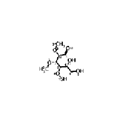 CO[C@@H]([C@H](OS)[C@H](O)CO)[C@H](C=O)OC